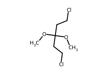 COC(CCCl)(CCCl)OC